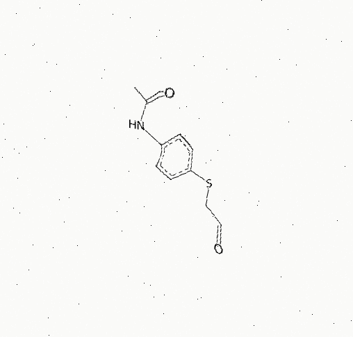 CC(=O)Nc1ccc(SCC=O)cc1